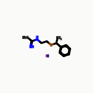 CSC(=N)NCCSC(C)c1ccccc1.I